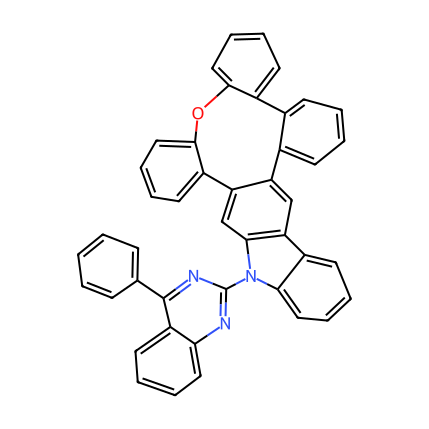 c1ccc(-c2nc(-n3c4ccccc4c4cc5c(cc43)c3ccccc3oc3ccccc3c3ccccc35)nc3ccccc23)cc1